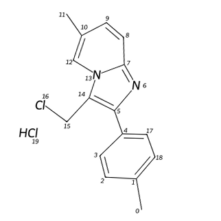 Cc1ccc(-c2nc3ccc(C)cn3c2CCl)cc1.Cl